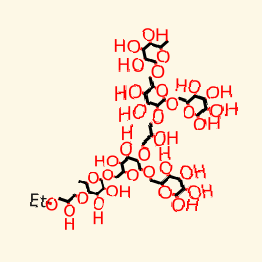 CCOCC(O)COC1C(C)OC(OCC2OC(OCC3OC(O)C(O)C(O)C3O)C(OCC(O)COC3C(OCC4OC(O)C(O)C(O)C4O)OC(COC4OC(C)C(O)C(O)C4O)C(O)C3O)C(O)C2O)C(O)C1O